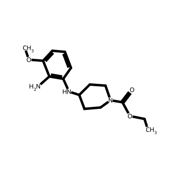 CCOC(=O)N1CCC(Nc2cccc(OC)c2N)CC1